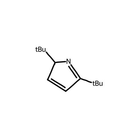 CC(C)(C)[C]1C=CC(C(C)(C)C)=N1